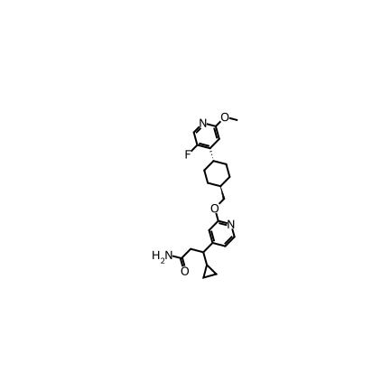 COc1cc([C@H]2CC[C@H](COc3cc(C(CC(N)=O)C4CC4)ccn3)CC2)c(F)cn1